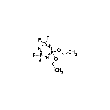 CCOP1(OCC)=NP(F)(F)=NP(F)(F)=N1